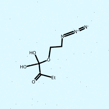 CCC(=O)C(O)(O)OCCN=[N+]=[N-]